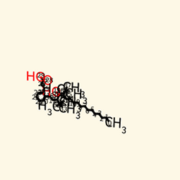 CCCCCCCCCCCCCC(C(O)C(CCc1ccccc1CCC(=O)O)C(C)(C)C)C(C)(C)C